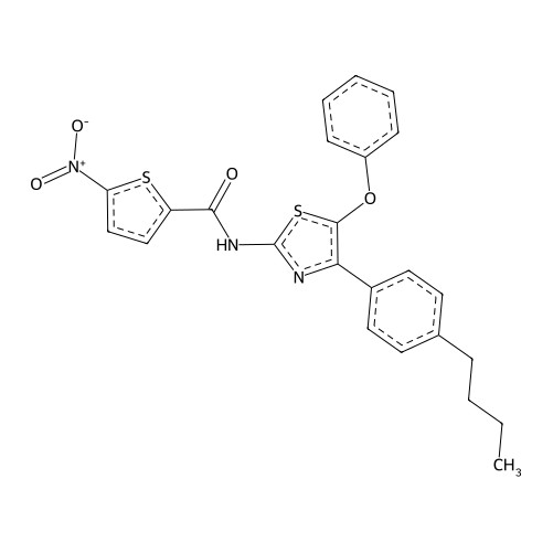 CCCCc1ccc(-c2nc(NC(=O)c3ccc([N+](=O)[O-])s3)sc2Oc2ccccc2)cc1